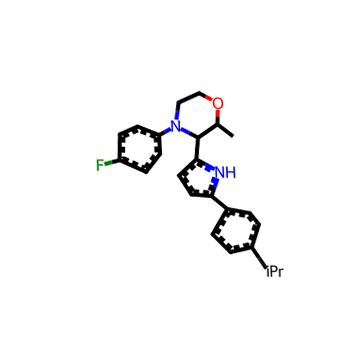 CC(C)c1ccc(-c2ccc(C3C(C)OCCN3c3ccc(F)cc3)[nH]2)cc1